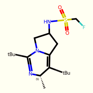 C[C@@H]1N=C(C(C)(C)C)N2CC(NS(=O)(=O)CF)CC2=C1C(C)(C)C